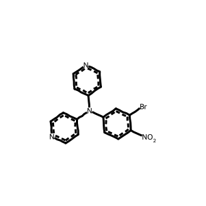 O=[N+]([O-])c1ccc(N(c2ccncc2)c2ccncc2)cc1Br